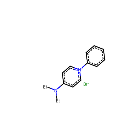 CCN(CC)c1cc[n+](-c2ccccc2)cc1.[Br-]